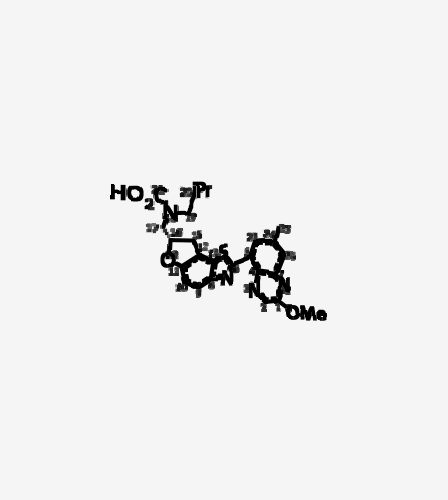 COc1cnc2c(-c3nc4ccc5c(c4s3)C[C@@H](CN(CC(C)C)C(=O)O)O5)cc(C)cc2n1